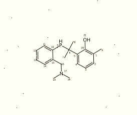 Cc1cccc(C(C)(C)Pc2ccccc2CN(C)C)c1O